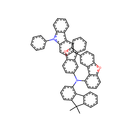 CC1(C)c2ccccc2-c2c(N(c3ccc4oc5ccccc5c4c3)c3cccc4oc5ccc(-c6ccc7c(c6)c6ccccc6n7-c6ccccc6)cc5c34)cccc21